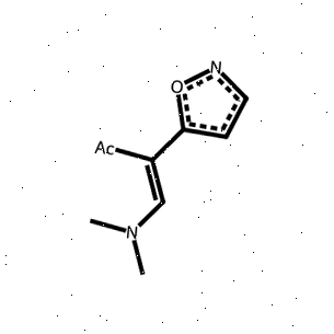 CC(=O)/C(=C\N(C)C)c1ccno1